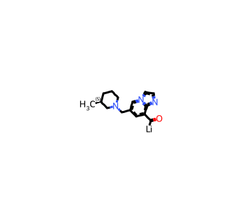 [Li][C](=O)c1cc(CN2CCC[C@H](C)C2)cn2ccnc12